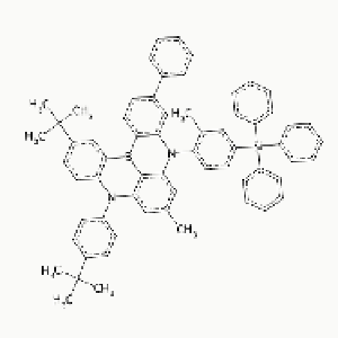 Cc1cc2c3c(c1)N(c1ccc([Si](c4ccccc4)(c4ccccc4)c4ccccc4)cc1C)c1cc(-c4ccccc4)ccc1B3c1cc(C(C)(C)C)ccc1N2c1ccc(C(C)(C)C)cc1